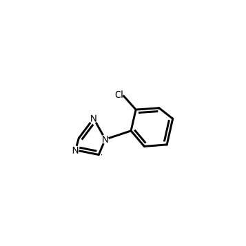 Clc1ccccc1-n1[c]ncn1